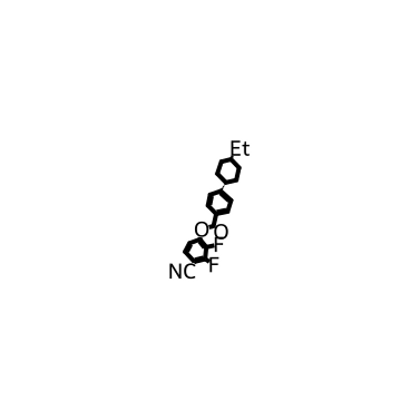 CC[C@H]1CC[C@H](c2ccc(C(=O)Oc3ccc(C#N)c(F)c3F)cc2)CC1